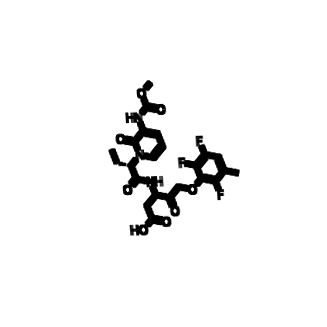 CC[C@@H](C(=O)NC(CC(=O)O)C(=O)COc1c(F)c(C)cc(F)c1F)n1cccc(NC(=O)OC)c1=O